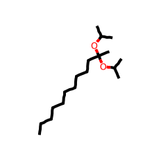 CCCCCCCCCCC(C)(OC(C)C)OC(C)C